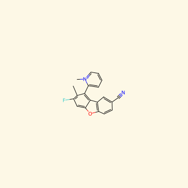 Cc1c(F)cc2oc3ccc(C#N)cc3c2c1-c1cccc[n+]1C